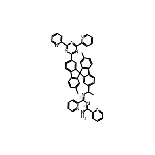 Cc1ccc2c(c1)C1(c3cc(C)ccc3-c3ccc(C(C)/N=C(\N=C(/N)c4ccccn4)c4ccccn4)cc31)c1cc(-c3nc(-c4ccccn4)nc(-c4ccccn4)n3)ccc1-2